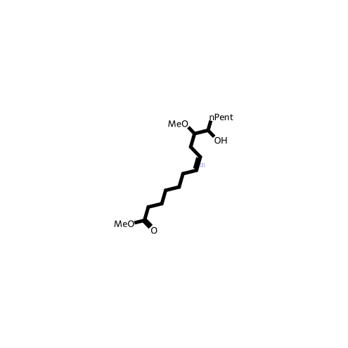 CCCCCC(O)C(C/C=C\CCCCCC(=O)OC)OC